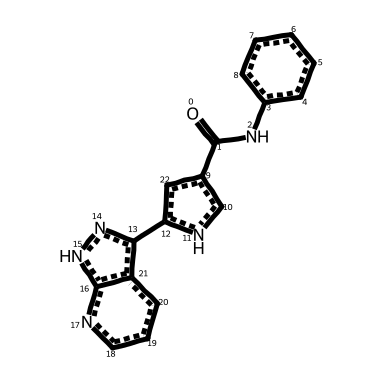 O=C(Nc1ccccc1)c1c[nH]c(-c2n[nH]c3ncccc23)c1